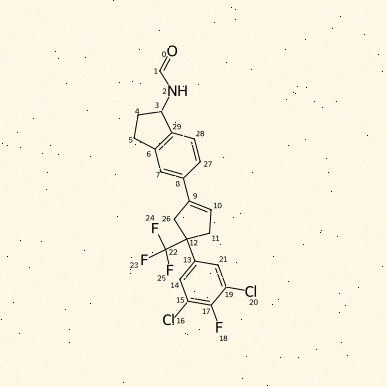 O=CNC1CCc2cc(C3=CCC(c4cc(Cl)c(F)c(Cl)c4)(C(F)(F)F)C3)ccc21